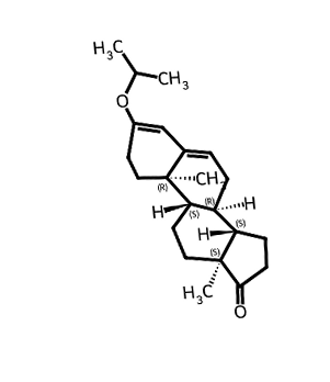 CC(C)OC1=CC2=CC[C@@H]3[C@H](CC[C@]4(C)C(=O)CC[C@@H]34)[C@@]2(C)CC1